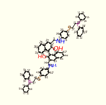 Oc1c(CNc2ccc(SCCP(c3ccccc3)c3ccccc3)cc2)cc2ccccc2c1-c1c(O)c(CNc2ccc(SCCP(c3ccccc3)c3ccccc3)cc2)cc2ccccc12